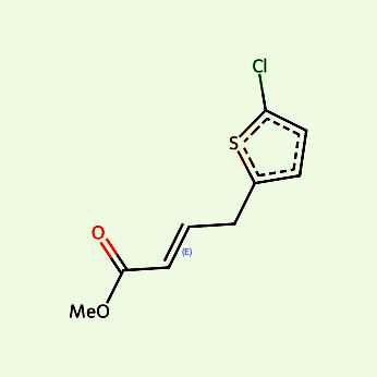 COC(=O)/C=C/Cc1ccc(Cl)s1